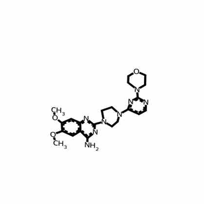 COc1cc2nc(N3CCN(c4ccnc(N5CCOCC5)n4)CC3)nc(N)c2cc1OC